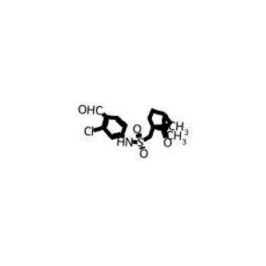 CC1(C)C2CCC1(CS(=O)(=O)Nc1ccc(C=O)c(Cl)c1)C(=O)C2